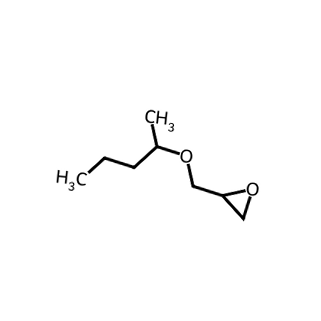 CCCC(C)OCC1CO1